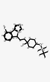 CC(C)(C)[Si](C)(C)OC1CCC(F)(CCC2c3cccc(F)c3-c3cncn32)CC1